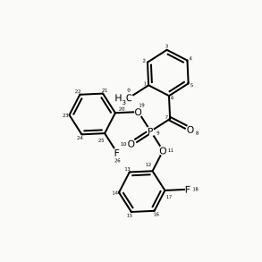 Cc1ccccc1C(=O)P(=O)(Oc1ccccc1F)Oc1ccccc1F